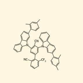 Cc1ccc(-c2ccc3c4ccccc4n(-c4cc(-c5c(C#N)cccc5C(F)(F)F)cc(-n5c6ccccc6c6ccc(-c7ccc(C)cc7C)cc65)c4C#N)c3c2)c(C)c1